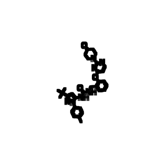 Cc1ccc(-n2nc(C(C)(C)C)cc2NC(=O)NCc2ccccc2Oc2ccnc(N3CCC(=O)CC3)n2)cc1